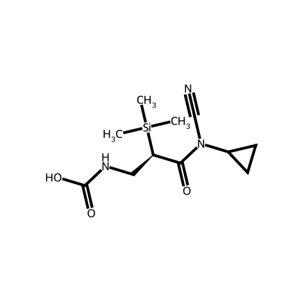 C[Si](C)(C)[C@H](CNC(=O)O)C(=O)N(C#N)C1CC1